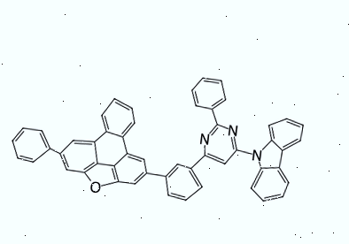 c1ccc(-c2cc3oc4cc(-c5cccc(-c6cc(-n7c8ccccc8c8ccccc87)nc(-c7ccccc7)n6)c5)cc5c6ccccc6c(c2)c3c45)cc1